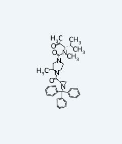 CC(=O)[C@H](C(C)C)N(C)C(=O)N1CCN(C(=O)[C@H]2CN2C(c2ccccc2)(c2ccccc2)c2ccccc2)[C@@H](C)C1